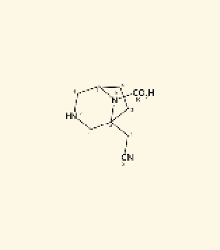 N#CCC12CCC(CNC1)N2C(=O)O